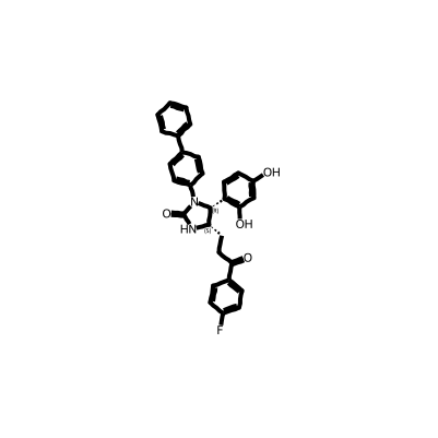 O=C(CC[C@@H]1NC(=O)N(c2ccc(-c3ccccc3)cc2)[C@@H]1c1ccc(O)cc1O)c1ccc(F)cc1